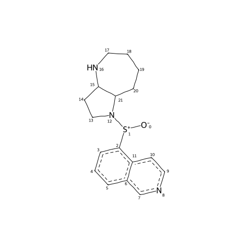 [O-][S+](c1cccc2cnccc12)N1CCC2NCCCCC21